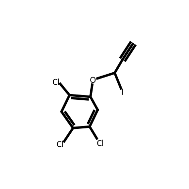 C#CC(I)Oc1cc(Cl)c(Cl)cc1Cl